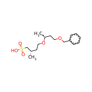 C[C@@H](CCO[C@@H](C)CCOCc1ccccc1)CS(=O)(=O)O